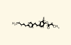 CCCCCc1ncc(CCc2ccc(OC(=O)CC)c(F)c2)cn1